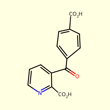 O=C(O)c1ccc(C(=O)c2cccnc2C(=O)O)cc1